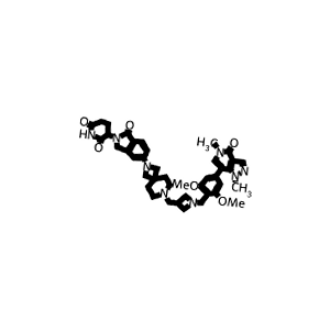 COc1cc(-c2cn(C)c(=O)c3cnn(C)c23)cc(OC)c1CN1CC(CN2CCC3(CC2)CN(c2ccc4c(c2)CN(C2CCC(=O)NC2=O)C4=O)C3)C1